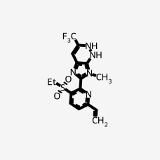 C=Cc1ccc(S(=O)(=O)CC)c(-c2nc3c(n2C)NNC(C(F)(F)F)=C3)n1